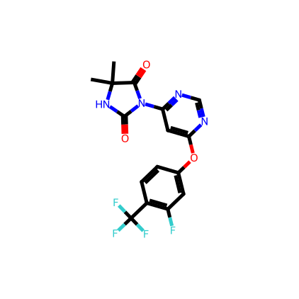 CC1(C)NC(=O)N(c2cc(Oc3ccc(C(F)(F)F)c(F)c3)ncn2)C1=O